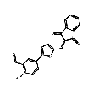 O=Cc1cc(-c2ccc(C=C3C(=O)c4ccccc4C3=O)o2)ccc1O